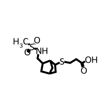 CS(=O)(=O)NCC1CC2CC(SCCC(=O)O)C1C2